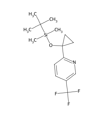 CC(C)(C)[Si](C)(C)OC1(c2ccc(C(F)(F)F)cn2)CC1